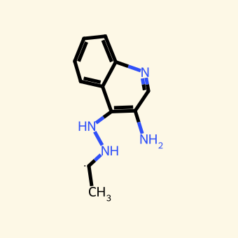 C[CH]NNc1c(N)cnc2ccccc12